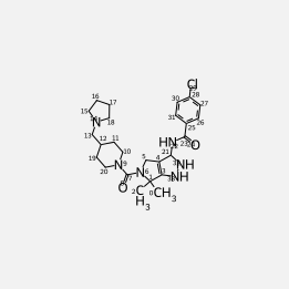 CC1(C)C2=C(CN1C(=O)N1CCC(CN3CCCC3)CC1)C(NC(=O)c1ccc(Cl)cc1)NN2